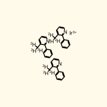 [2H]C([2H])([2H])c1cccnc1-c1ccccc1.[2H]C([2H])([2H])c1cccnc1-c1ccccc1.[2H]C([2H])([2H])c1cccnc1-c1ccccc1.[Ir+3]